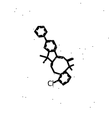 C=C1/C=C2\C(=C/Cc3c(Cl)cccc3C1(C)C)C(C)(C)c1cc(-c3ccccc3)ccc12